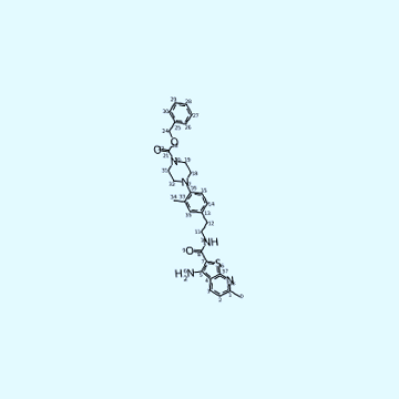 Cc1ccc2c(N)c(C(=O)NCCc3ccc(N4CCN(C(=O)OCc5ccccc5)CC4)c(C)c3)sc2n1